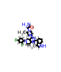 Cc1c[nH]c2cccc(-c3nc4c(c(N5CCN(CC(N)=O)[C@H](C)C5)n3)CN(c3ccc(F)cc3F)CC4)c12